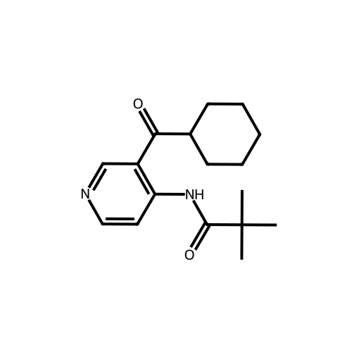 CC(C)(C)C(=O)Nc1ccncc1C(=O)C1CCCCC1